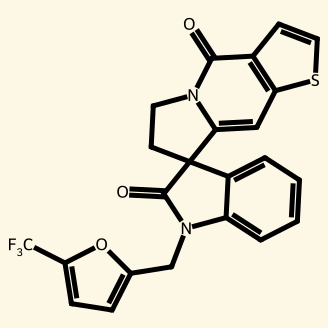 O=C1N(Cc2ccc(C(F)(F)F)o2)c2ccccc2C12CCn1c2cc2sccc2c1=O